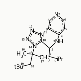 CC(C)CC(Nc1ccncc1)c1nnnn1C(C)(C)CC(C)(C)C